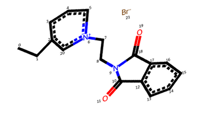 CCc1ccc[n+](CCN2C(=O)c3ccccc3C2=O)c1.[Br-]